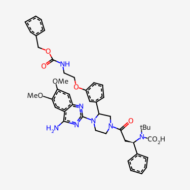 COc1cc2nc(N3CCN(C(=O)C[C@H](c4ccccc4)N(C(=O)O)C(C)(C)C)CC3c3cccc(OCCNC(=O)OCc4ccccc4)c3)nc(N)c2cc1OC